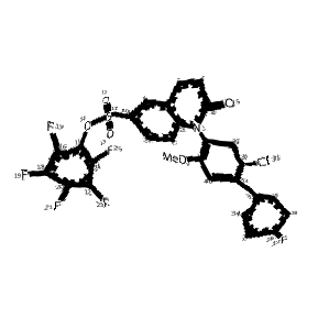 COC1=C(n2c(=O)ccc3cc(S(=O)(=O)Oc4c(F)c(F)c(F)c(F)c4F)ccc32)C[C@@H](Cl)C(c2ccc(F)cc2)=C1